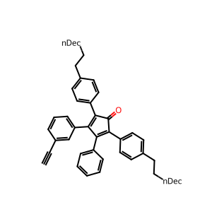 C#Cc1cccc(C2=C(c3ccc(CCCCCCCCCCCC)cc3)C(=O)C(c3ccc(CCCCCCCCCCCC)cc3)=C2c2ccccc2)c1